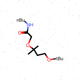 CCCCNC(=O)COC(C)(C)CCOC(C)(C)C